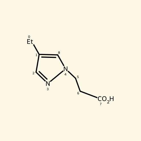 CCc1cnn(CCC(=O)O)c1